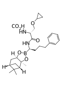 CC1(C)[C@@H]2C[C@H]3OB([C@H](CCCc4ccccc4)NC(=O)[C@@H](COC4CC4)NC(=O)O)O[C@@]3(C)[C@H]1C2